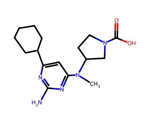 CN(c1cc(C2CCCCC2)nc(N)n1)C1CCN(C(=O)O)C1